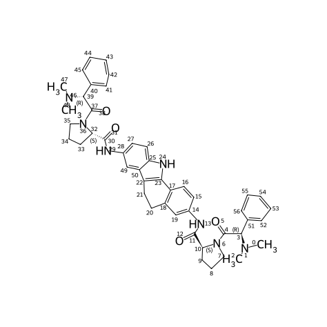 CN(C)[C@@H](C(=O)N1CCC[C@H]1C(=O)Nc1ccc2c(c1)CCc1c-2[nH]c2ccc(NC(=O)[C@@H]3CCCN3C(=O)[C@@H](c3ccccc3)N(C)C)cc12)c1ccccc1